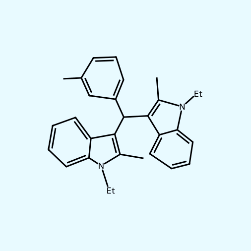 CCn1c(C)c(C(c2cccc(C)c2)c2c(C)n(CC)c3ccccc23)c2ccccc21